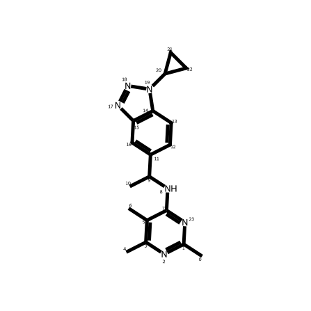 Cc1nc(C)c(C)c(NC(C)c2ccc3c(c2)nnn3C2CC2)n1